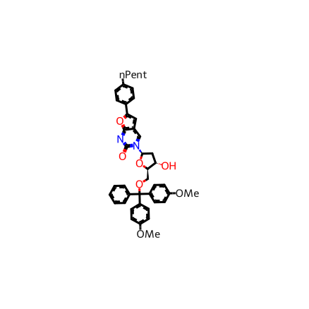 CCCCCc1ccc(-c2cc3cn([C@H]4C[C@H](O)[C@@H](COC(c5ccccc5)(c5ccc(OC)cc5)c5ccc(OC)cc5)O4)c(=O)nc3o2)cc1